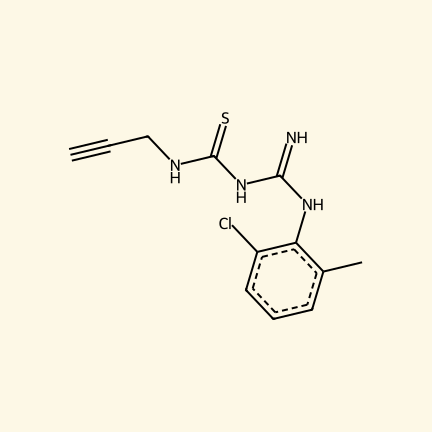 C#CCNC(=S)NC(=N)Nc1c(C)cccc1Cl